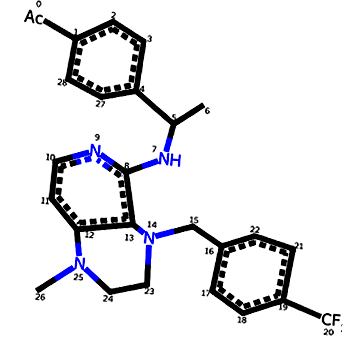 CC(=O)c1ccc(C(C)Nc2nccc3c2N(Cc2ccc(C(F)(F)F)cc2)CCN3C)cc1